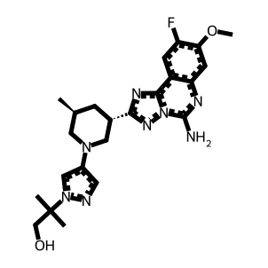 COc1cc2nc(N)n3nc([C@H]4C[C@H](C)CN(c5cnn(C(C)(C)CO)c5)C4)nc3c2cc1F